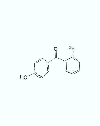 [2H]c1ccccc1C(=O)c1ccc(O)cc1